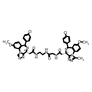 COc1ccc2c(c1)C(c1ccc(Cl)cc1)=N[C@@H](CC(=O)NCC(=O)NCCNC(=O)C[C@H]1N=C(c3ccc(Cl)cc3)c3ccc(OC)cc3-n3cnnc31)c1nnc(C)n1-2